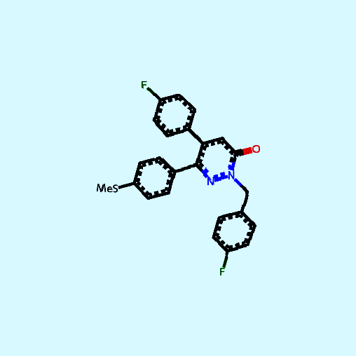 CSc1ccc(-c2nn(Cc3ccc(F)cc3)c(=O)cc2-c2ccc(F)cc2)cc1